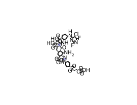 Nc1c(/N=N/c2ccc(S(=O)(=O)CCOS(=O)(=O)O)cc2)c(S(=O)(=O)O)cc2c1C(=O)/C(=N\Nc1cc(Nc3nc(F)nc(F)c3Cl)ccc1S(=O)(=O)O)C(S(=O)(=O)O)=C2